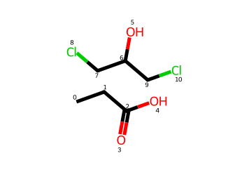 CCC(=O)O.OC(CCl)CCl